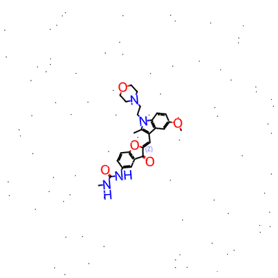 CNC(=O)Nc1ccc2c(c1)C(=O)/C(=C/c1c(C)n(CCN3CCOCC3)c3ccc(OC)cc13)O2